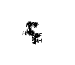 O=C(NC1CC1)c1cc(F)ccc1Sc1ccc2c(/C=C/c3cc(CN4CCCC4)ccn3)n[nH]c2c1